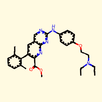 CCN(CC)CCOc1ccc(Nc2ncc3cc(-c4c(C)cccc4C)c(C(=O)OC)nc3n2)cc1